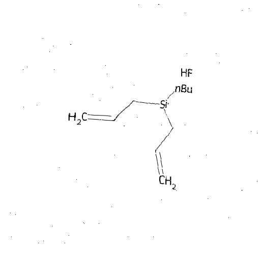 C=CC[Si](CC=C)CCCC.F